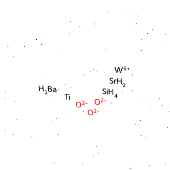 [BaH2].[O-2].[O-2].[O-2].[SiH4].[SrH2].[Ti].[W+6]